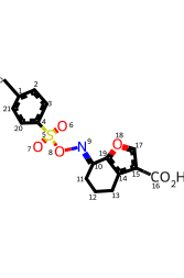 Cc1ccc(S(=O)(=O)O/N=C2\CCCc3c(C(=O)O)coc32)cc1